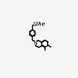 CSCc1ccc(CN2CCC3=C(C)C(C)CC=C3C2)cc1